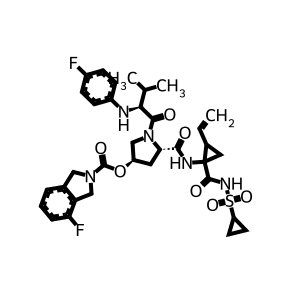 C=CC1CC1(NC(=O)[C@@H]1C[C@@H](OC(=O)N2Cc3cccc(F)c3C2)CN1C(=O)[C@@H](Nc1ccc(F)cc1)C(C)C)C(=O)NS(=O)(=O)C1CC1